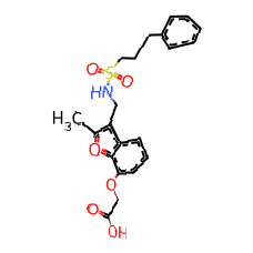 Cc1oc2c(OCC(=O)O)cccc2c1CNS(=O)(=O)CCCc1ccccc1